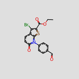 CCOC(=O)c1sc2c(ccc(=O)n2-c2ccc(C=O)cc2)c1Br